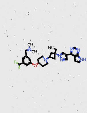 CN(C)Cc1cc(OC2CCN(C3CC(CC#N)(n4cc(-c5ncnc6[nH]ccc56)cn4)C3)CC2)cc(C(F)F)c1